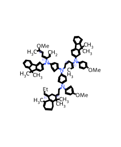 C=C/C(=C\C=C(/C)OC)N(c1ccc(N(C/C=C\C(=C/C)N(c2ccc(OC)cc2)c2ccc3c(c2)C(C)(C)c2ccccc2-3)c2ccc(N(C/C=C3\C/C(=C\CC)C4=C(CC=CC=C4C)C3(C)C)c3ccc(OC)cc3)cc2)cc1)c1ccc2c(c1)-c1ccccc1C2(C)C